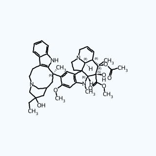 CCC1(O)CC2CN(CCc3c([nH]c4ccccc34)[C@@](C)(c3cc4c(cc3OC)N(C)[C@@H]3C45CCN4CC=C[C@](CC)([C@H]45)[C@@H](OC(C)=O)[C@]3(O)C(=O)OC)C2)C1